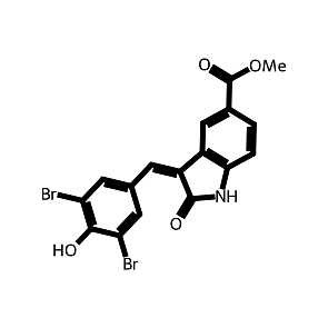 COC(=O)c1ccc2c(c1)C(=Cc1cc(Br)c(O)c(Br)c1)C(=O)N2